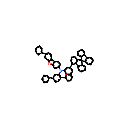 c1ccc(-c2ccc(-c3ccccc3)c(N(c3cccc(-c4cccc5c4-c4ccccc4C54c5ccccc5-c5ccccc54)c3)c3ccc4c(c3)oc3cc(-c5ccccc5)ccc34)c2)cc1